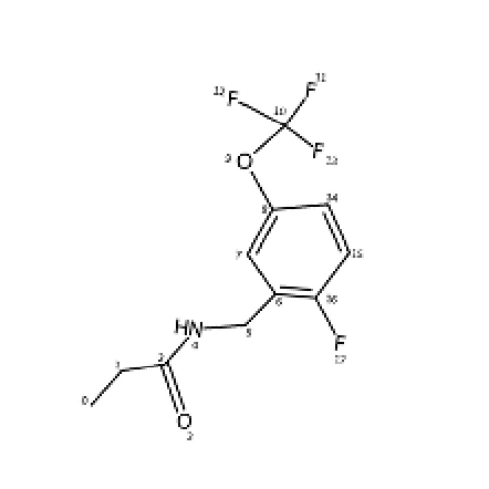 CCC(=O)NCc1cc(OC(F)(F)F)ccc1F